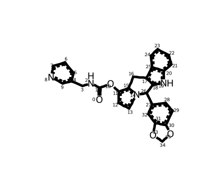 O=C(NCc1cccnc1)Oc1ccn2c1Cc1c([nH]c3ccccc13)C2c1ccc2c(c1)OCO2